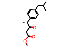 COC(=O)CC(=O)[C@H](C)c1ccc(CC(C)C)cc1